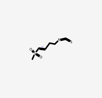 CS(=O)(=O)/C=C/CCN=C=S